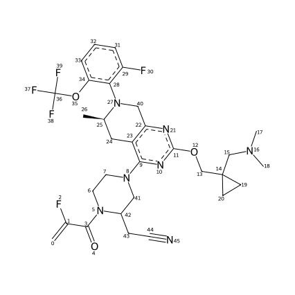 C=C(F)C(=O)N1CCN(c2nc(OCC3(CN(C)C)CC3)nc3c2C[C@@H](C)N(c2c(F)cccc2OC(F)(F)F)C3)CC1CC#N